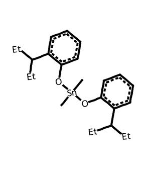 CCC(CC)c1ccccc1[O][Sn]([CH3])([CH3])[O]c1ccccc1C(CC)CC